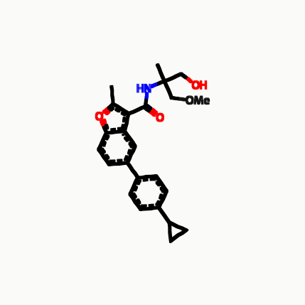 COCC(C)(CO)NC(=O)c1c(C)oc2ccc(-c3ccc(C4CC4)cc3)cc12